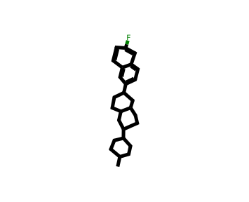 CC1CCC(C2CCC3CC(c4ccc5cc(F)ccc5c4)CCC3C2)CC1